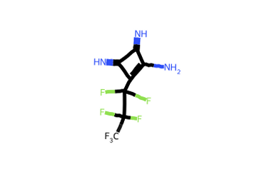 N=c1c(N)c(C(F)(F)C(F)(F)C(F)(F)F)c1=N